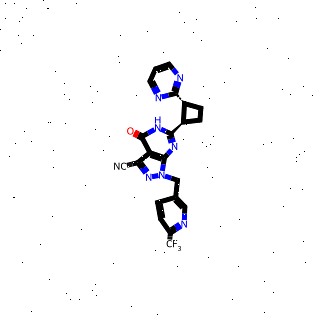 N#Cc1nn(Cc2ccc(C(F)(F)F)nc2)c2nc([C@@H]3CC[C@H]3c3ncccn3)[nH]c(=O)c12